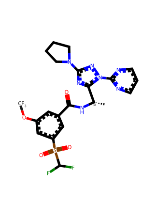 C[C@H](NC(=O)c1cc(OC(F)(F)F)cc(S(=O)(=O)C(F)F)c1)c1nc(N2CCCC2)nn1-c1ncccn1